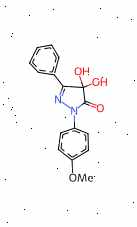 COc1ccc(N2N=C(c3ccccc3)C(O)(O)C2=O)cc1